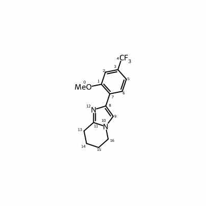 COc1cc(C(F)(F)F)ccc1-c1cn2c(n1)CCCC2